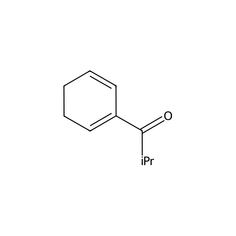 CC(C)C(=O)C1=CCCC=C1